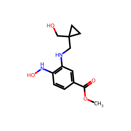 COC(=O)c1ccc(NO)c(NCC2(CO)CC2)c1